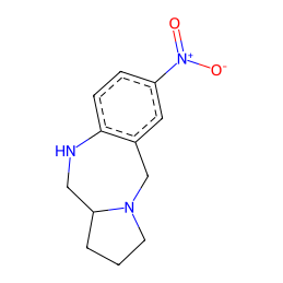 O=[N+]([O-])c1ccc2c(c1)CN1CCCC1CN2